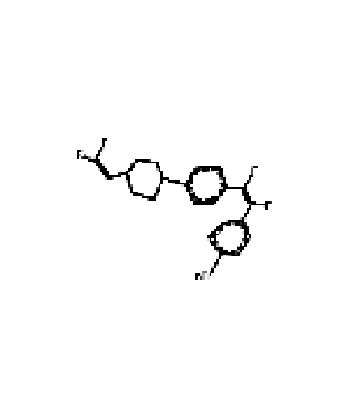 CCCc1ccc(/C(F)=C(/F)c2ccc(C3CCC(C=C(F)F)CC3)cc2)cc1